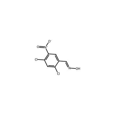 O=[N+]([O-])c1cc(/C=N/O)c(Cl)cc1Cl